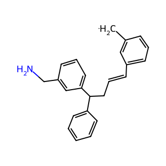 [CH2]c1cccc(C=CCC(c2ccccc2)c2cccc(CN)c2)c1